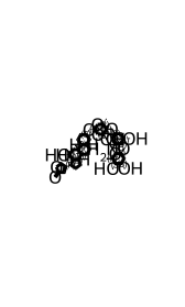 C[C@H]1O[C@@H](O[C@H]2[C@@H](O)C[C@H](O[C@@H]3[C@@H](C)O[C@@H](O[C@H]4CC[C@@]5(C)[C@H](CC[C@@H]6[C@@H]5C[C@@H](O)[C@]5(C)[C@@H](C7=CC(=O)OC7)CC[C@]65O)C4)O[C@@H]3O)O[C@@H]2N)C[C@H](O)[C@@H]1O